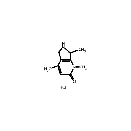 Cc1cc(=O)n(C)c2c1CNC2C.Cl